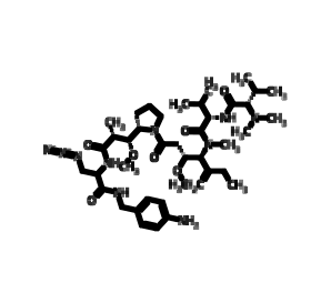 C=C(CC)[C@@H]([C@@H](CC(=O)N1CCC[C@H]1[C@H](OC)[C@@H](C)C(=O)NC(CN=[N+]=[N-])C(=O)NCc1ccc(N)cc1)OC)N(C)C(=O)[C@@H](NC(=O)[C@H](C(C)C)N(C)C)C(C)C